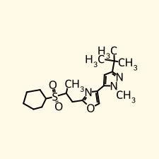 CC(Cc1nc(-c2cc(C(C)(C)C)nn2C)co1)S(=O)(=O)C1CCCCC1